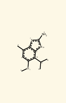 COc1cc(C)c2sc(N)nc2c1C(C)C